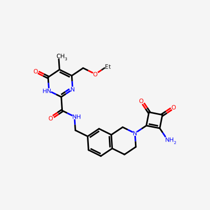 CCOCc1nc(C(=O)NCc2ccc3c(c2)CN(c2c(N)c(=O)c2=O)CC3)[nH]c(=O)c1C